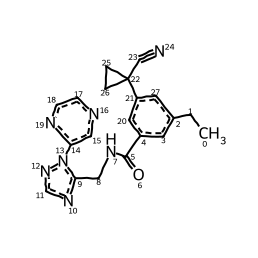 CCc1cc(C(=O)NCc2ncnn2-c2cnccn2)cc(C2(C#N)CC2)c1